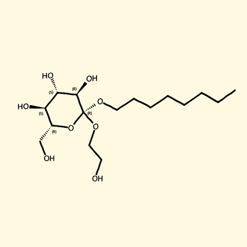 CCCCCCCCO[C@]1(OCCO)O[C@H](CO)[C@@H](O)[C@H](O)[C@H]1O